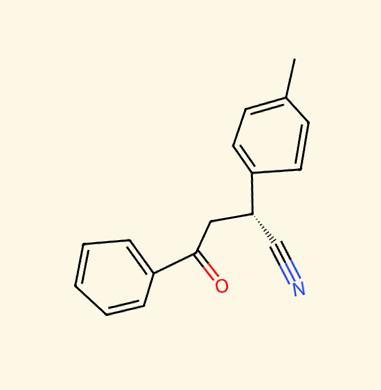 Cc1ccc([C@H](C#N)CC(=O)c2ccccc2)cc1